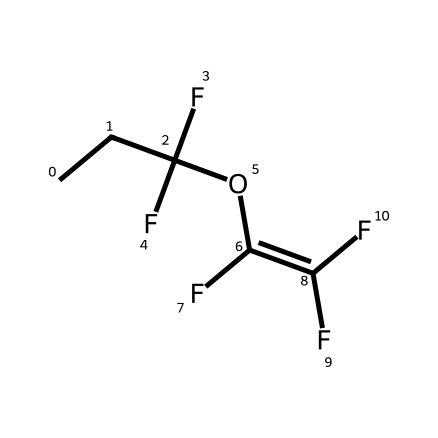 CCC(F)(F)OC(F)=C(F)F